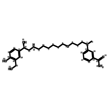 CN(CCCOCCCCCCNC[C@H](O)c1ccc(O)c(CO)c1)c1cccc(C(N)=O)c1